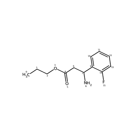 CCCOC(=O)CC(N)c1ccccc1F